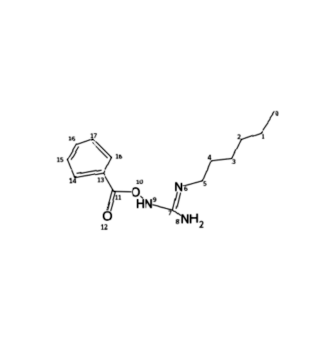 CCCCCCN=C(N)NOC(=O)c1ccccc1